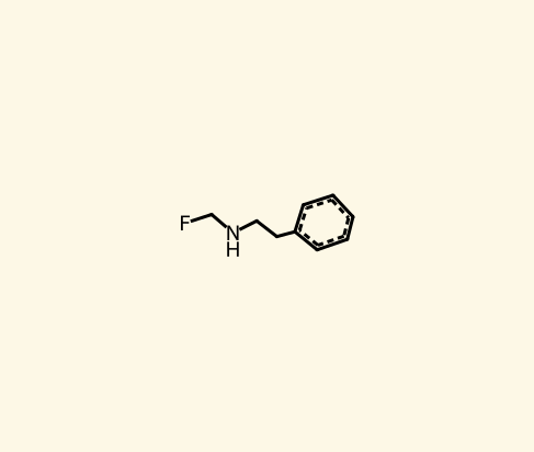 FCNCCc1ccccc1